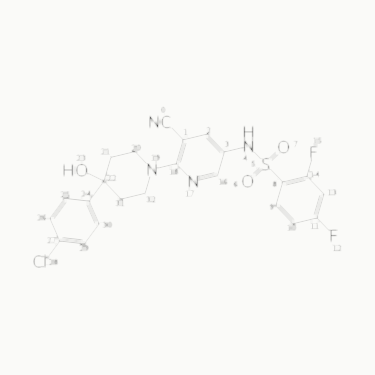 N#Cc1cc(NS(=O)(=O)c2ccc(F)cc2F)cnc1N1CCC(O)(c2ccc(Cl)cc2)CC1